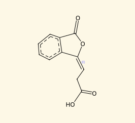 O=C(O)C/C=C1/OC(=O)c2ccccc21